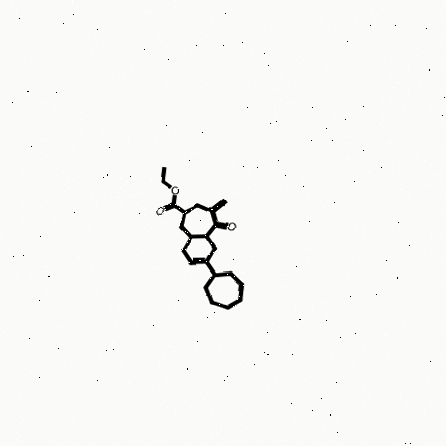 C=C1CC(C(=O)OCC)CC2CC=C(C3CCCCCC3)CC2C1=O